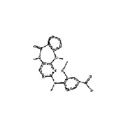 COc1cc(C(=O)O)ccc1N(C)c1ncc2c(n1)N(C)c1ccccc1C(=O)N2C